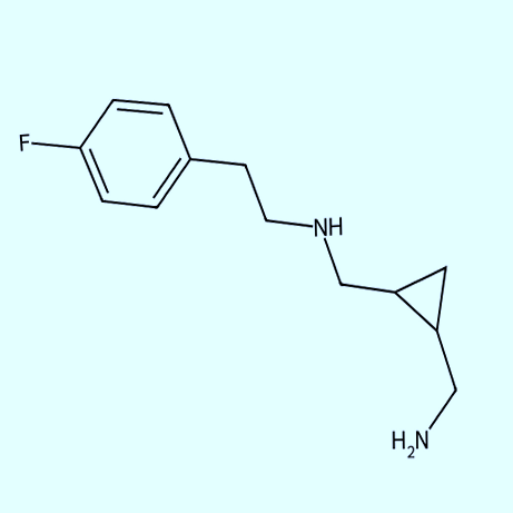 NCC1CC1CNCCc1ccc(F)cc1